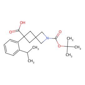 CC(C)c1ccccc1C1(C(=O)O)CC2(CN(C(=O)OC(C)(C)C)C2)C1